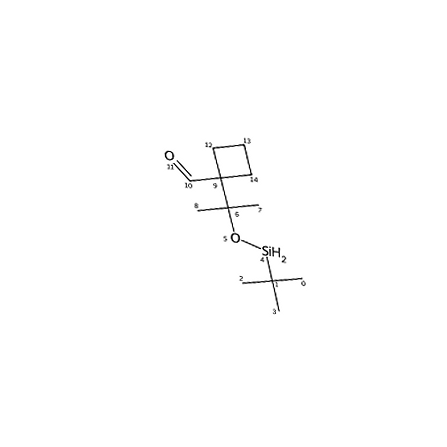 CC(C)(C)[SiH2]OC(C)(C)C1(C=O)CCC1